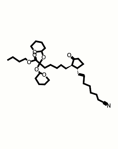 CCCCOC(=O)C(CCCCC[C@H]1C(=O)CC[C@@H]1/C=C/CCCCCC#N)(OC1CCCCO1)OC1CCCCO1